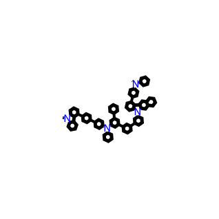 CN(c1ccccc1)c1ccc(-c2cccc3c2c2cc4ccccc4cc2n3-c2cccc(-c3cccc(-c4cc(-c5ccccc5)cc(N(c5ccccc5)c5ccc(-c6ccc(-c7cccc8c7c7ccccc7n8C)cc6)cc5)c4)c3)c2)cc1